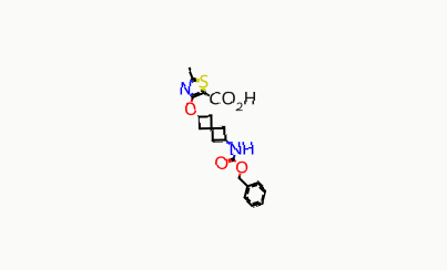 Cc1nc(O[C@H]2CC3(C[C@H](NC(=O)OCc4ccccc4)C3)C2)c(C(=O)O)s1